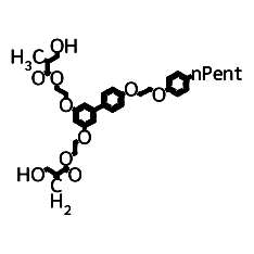 C=C(CO)C(=O)OCCOc1cc(OCCOC(=O)C(C)CO)cc(-c2ccc(OCCOc3ccc(CCCCC)cc3)cc2)c1